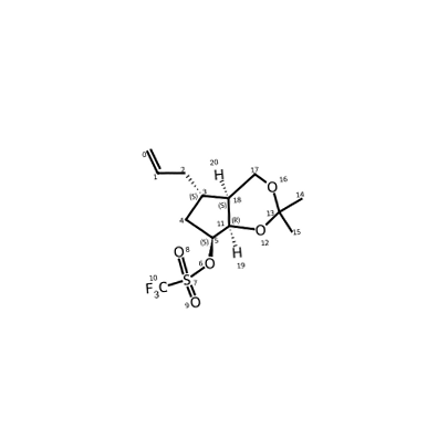 C=CC[C@H]1C[C@H](OS(=O)(=O)C(F)(F)F)[C@@H]2OC(C)(C)OC[C@H]12